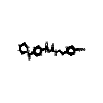 COc1ccc(CCNC(=O)NC(=O)c2ccc(C(=O)N3CCCCC3)cc2)cc1